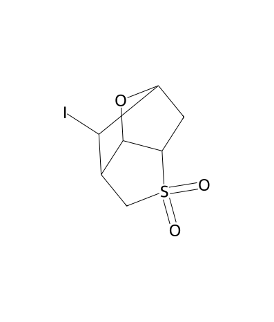 O=S1(=O)CC2C(I)C3CC1C2O3